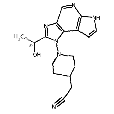 C[C@@H](O)c1nc2cnc3[nH]ccc3c2n1N1CCC(CC#N)CC1